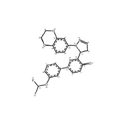 O=c1ccn(-c2cccc(OC(F)F)c2)nc1C1CC=NN1c1ccc2c(c1)OCCO2